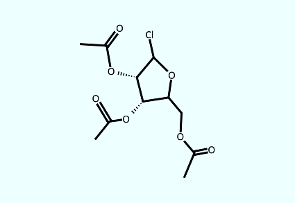 CC(=O)OCC1OC(Cl)[C@@H](OC(C)=O)[C@H]1OC(C)=O